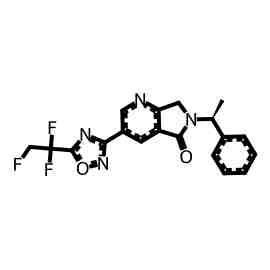 C[C@@H](c1ccccc1)N1Cc2ncc(-c3noc(C(F)(F)CF)n3)cc2C1=O